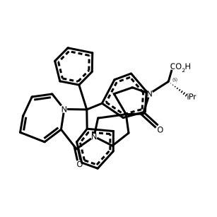 CC(C)[C@@H](C(=O)O)N1CCC2(CCN(C(=O)C3=CC=CC=CN3C(c3ccccc3)(c3ccccc3)c3ccccc3)C2)C1=O